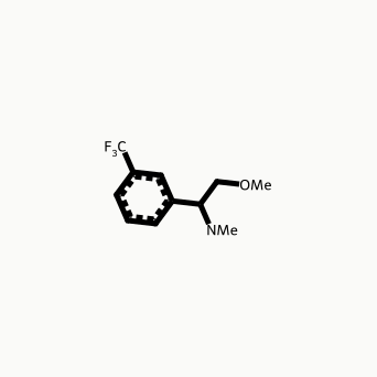 CNC(COC)c1cccc(C(F)(F)F)c1